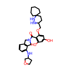 O=C(c1c(O)cc(O)cc1OCC1CCC2(CCCCCC2)NN1)N1Cc2cccc(NC3CCOC3)c2C1